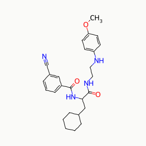 COc1ccc(NCCNC(=O)C(CC2CCCCC2)NC(=O)c2cccc(C#N)c2)cc1